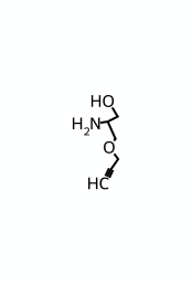 C#CCOCC(N)CO